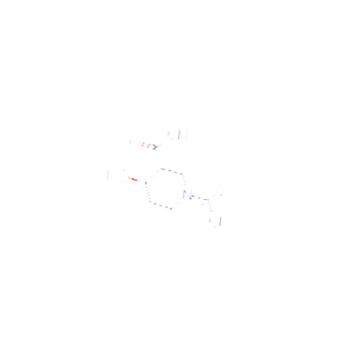 CC(=O)[C@@H]1CN(C(C)C)CC[C@H]1O